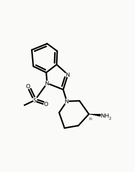 CS(=O)(=O)n1c(N2CCC[C@H](N)C2)nc2ccccc21